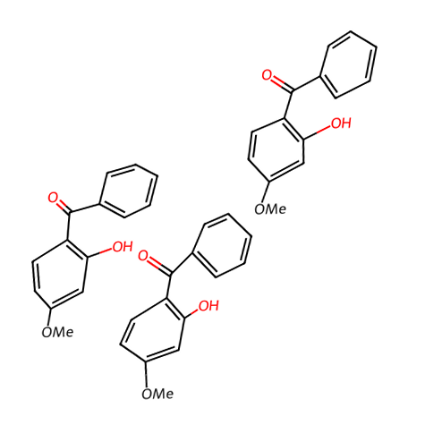 COc1ccc(C(=O)c2ccccc2)c(O)c1.COc1ccc(C(=O)c2ccccc2)c(O)c1.COc1ccc(C(=O)c2ccccc2)c(O)c1